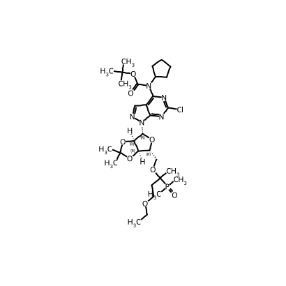 CCOCCC(C)(OC[C@H]1O[C@@H](n2ncc3c(N(C(=O)OC(C)(C)C)C4CCCC4)nc(Cl)nc32)[C@@H]2OC(C)(C)O[C@@H]21)P(C)(C)=O